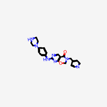 O=C1c2cnc(Nc3ccc(N4CCNCC4)cc3)nc2OCN1Cc1ccncc1